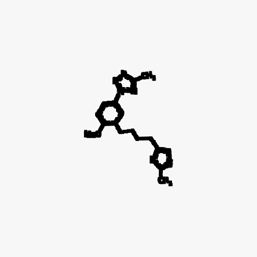 COc1ccc(-n2nnc(C)n2)cc1CCCCc1csc(C)n1